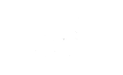 CN(C(=O)Nc1cc[c]cc1)N1CCC1